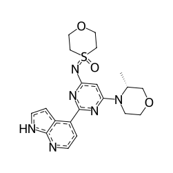 C[C@@H]1COCCN1c1cc(N=S2(=O)CCOCC2)nc(-c2ccnc3[nH]ccc23)n1